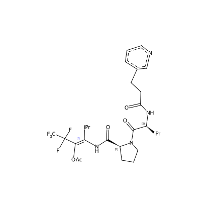 CC(=O)O/C(=C(\NC(=O)[C@@H]1CCCN1C(=O)[C@@H](NC(=O)CCc1cccnc1)C(C)C)C(C)C)C(F)(F)C(F)(F)F